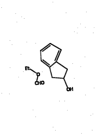 CCOC=O.OC1Cc2ccccc2C1